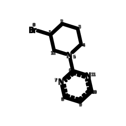 BrC1CCCN(c2ncccn2)C1